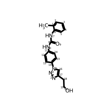 Cc1ccccc1NC(=O)Nc1ccc(-n2cc(CCO)nn2)cc1